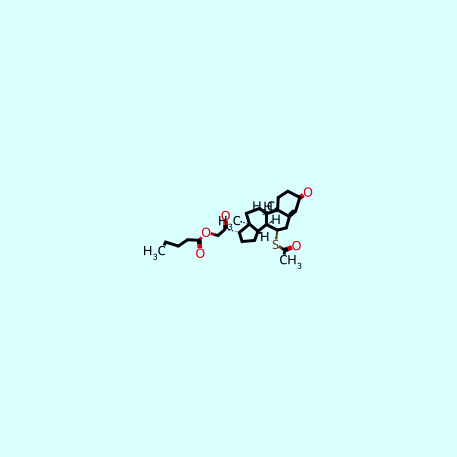 CCCCC(=O)OCC(=O)[C@H]1CC[C@H]2[C@@H]3[C@H](SC(C)=O)CC4=CC(=O)CC[C@]4(C)[C@H]3CC[C@]12C